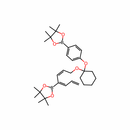 C=C/C=C(\C=C/COC1(Oc2ccc(B3OC(C)(C)C(C)(C)O3)cc2)CCCCC1)B1OC(C)(C)C(C)(C)O1